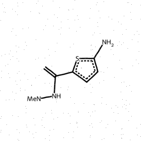 C=C(NNC)c1ccc(N)s1